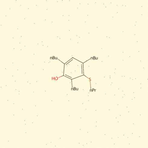 CCCCc1cc(CCCC)c(SCCC)c(CCCC)c1O